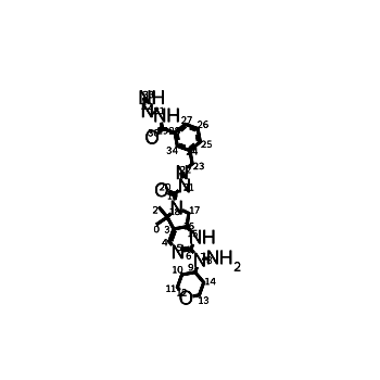 CC1(C)C2=CN=C(N(N)C3CCOCC3)NC2CN1C(=O)N=NCc1cccc(C(=O)NN=N)c1